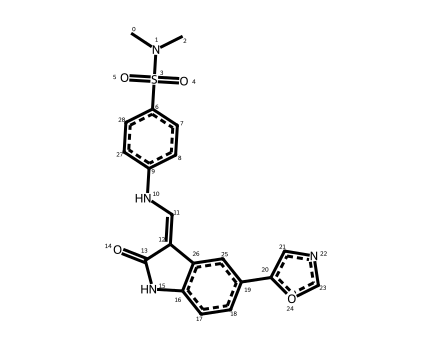 CN(C)S(=O)(=O)c1ccc(NC=C2C(=O)Nc3ccc(-c4cnco4)cc32)cc1